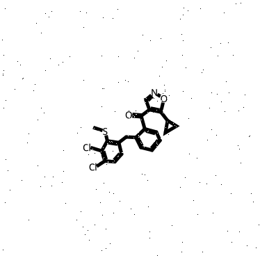 CSc1c(Cc2ccccc2C(=O)c2cnoc2C2CC2)ccc(Cl)c1Cl